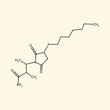 BC(=O)C(C)C(C)N1C(=O)CC(SCCCCCCC)C1=O